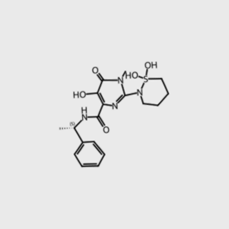 C[C@H](NC(=O)c1nc(N2CCCCS2(O)O)n(C)c(=O)c1O)c1ccccc1